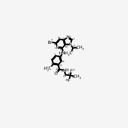 Cc1ccc(Nc2nc(Br)cc3ncn(C(C)C)c23)cc1C(=O)NCC(C)(F)F